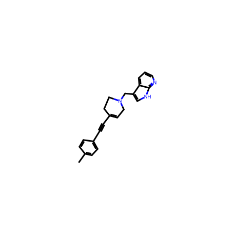 Cc1ccc(C#CC2=CCN(Cc3c[nH]c4ncccc34)CC2)cc1